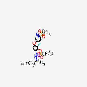 CCOC(=O)C(C)=NNc1ccc(Oc2ccc(S(C)(=O)=O)nc2)c(F)c1OS(C)(=O)=O